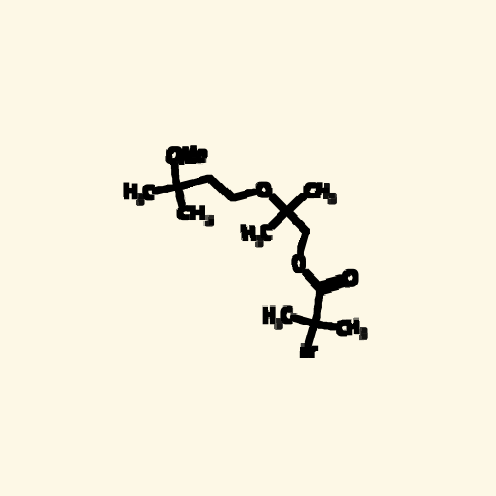 COC(C)(C)CCOC(C)(C)COC(=O)C(C)(C)Br